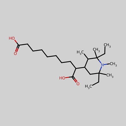 CCC1(C)CC(C(CCCCCCCC(=O)O)C(=O)O)C(C)C(C)(CC)N1C